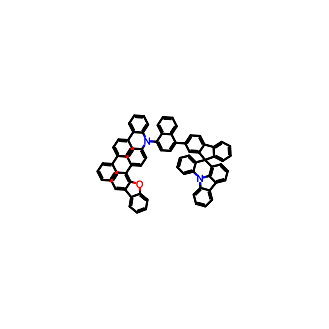 c1ccc(-c2ccc(-c3ccccc3N(c3ccc(-c4cccc5c4oc4ccccc45)cc3)c3ccc(-c4ccc5c(c4)C4(c6ccccc6-5)c5ccccc5-n5c6ccccc6c6cccc4c65)c4ccccc34)cc2)cc1